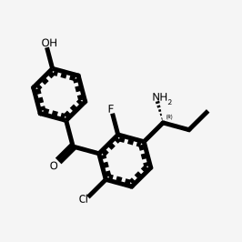 CC[C@@H](N)c1ccc(Cl)c(C(=O)c2ccc(O)cc2)c1F